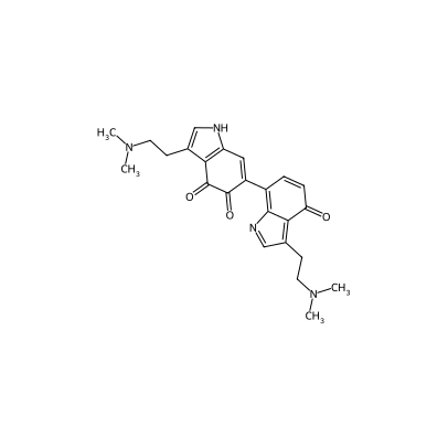 CN(C)CCC1=C2C(=O)C=CC(C3=Cc4[nH]cc(CCN(C)C)c4C(=O)C3=O)=C2N=C1